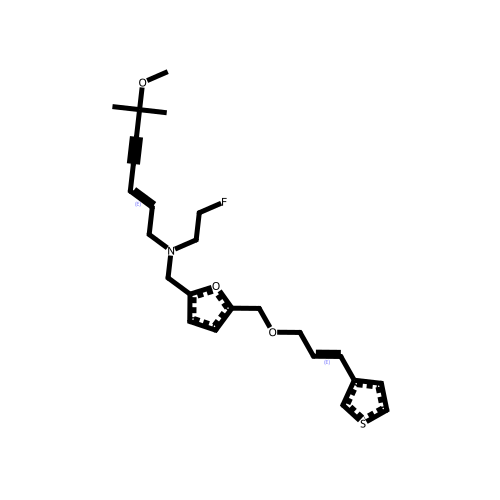 COC(C)(C)C#C/C=C/CN(CCF)Cc1ccc(COC/C=C/c2ccsc2)o1